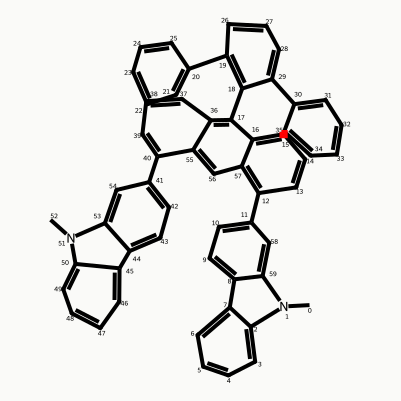 Cn1c2ccccc2c2ccc(-c3cccc4c(-c5c(-c6ccccc6)cccc5-c5ccccc5)c5cccc(-c6ccc7c8ccccc8n(C)c7c6)c5cc34)cc21